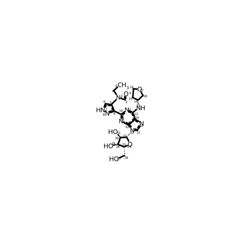 CCN(C=O)c1c[nH]nc1-c1nc(N[C@@H]2CCOC2)c2ncn([C@@H]3O[C@H](CO)[C@@H](O)[C@H]3O)c2n1